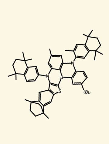 Cc1cc2c3c(c1)N(c1ccc4c(c1)C(C)(C)CCC4(C)C)c1c(sc4cc5c(cc14)C1(C)CCC5(C)CC1)B3c1cc(C(C)(C)C)ccc1N2c1cc2c(cc1C)C(C)(C)CCC2(C)C